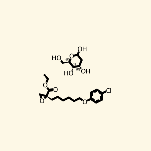 CCOC(=O)[C@@]1(CCCCCCOc2ccc(Cl)cc2)CO1.OC[C@H]1OC(O)C[C@@H](O)[C@@H]1O